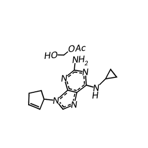 CC(=O)OCO.Nc1nc(NC2CC2)c2ncn(C3C=CCC3)c2n1